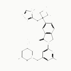 C[C@H]1C[C@H](C)CN(Cc2cc(Cl)nc(N3Cc4ccc(C5(Cc6nncn6C)COC5)cc4C3=O)c2)C1